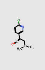 C[As](C)CC(=C=O)c1ccc(Cl)nc1